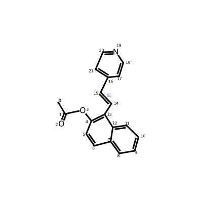 CC(=O)Oc1ccc2ccccc2c1/C=C/c1ccncc1